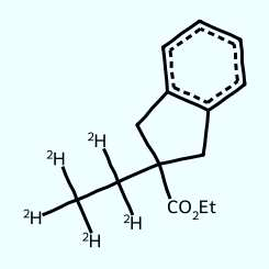 [2H]C([2H])([2H])C([2H])([2H])C1(C(=O)OCC)Cc2ccccc2C1